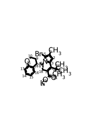 Cc1cc2n(c1Br)N([C@H]1CCOc3ccccc31)CC(C(=O)[O-])=C2C(C)(C)C.[K+]